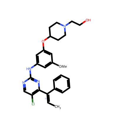 C/C=C(\c1ccccc1)c1nc(Nc2cc(OC)cc(OC3CCN(CCO)CC3)c2)ncc1Cl